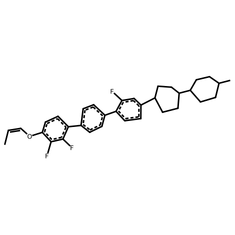 C/C=C\Oc1ccc(-c2ccc(-c3ccc(C4CCC(C5CCC(C)CC5)CC4)cc3F)cc2)c(F)c1F